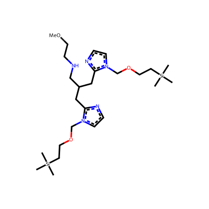 COCCNCC(Cc1nccn1COCC[Si](C)(C)C)Cc1nccn1COCC[Si](C)(C)C